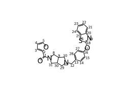 O=C(c1ccco1)N1CC2CN(Cc3ccc(Oc4nc5ccccc5s4)cc3)CC2C1